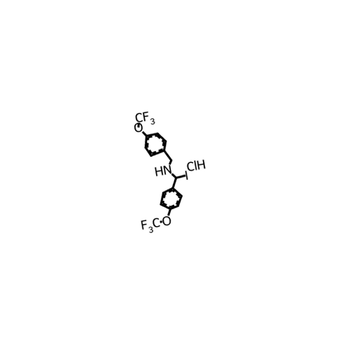 Cl.FC(F)(F)Oc1ccc(CNC(I)c2ccc(OC(F)(F)F)cc2)cc1